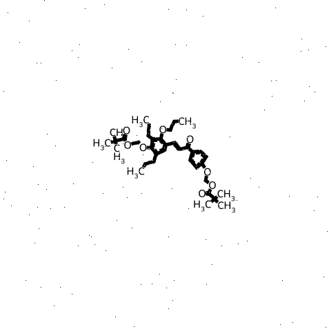 CCCOc1c(C=CC(=O)c2ccc(OCOC(=O)C(C)(C)C)cc2)cc(CCC)c(OCOC(=O)C(C)(C)C)c1CCC